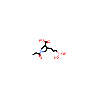 CCC(=O)N1CC(CCCB(O)O)C(C(=O)O)C1